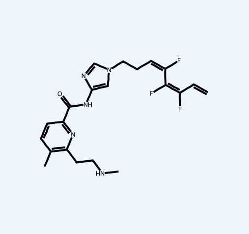 C=C/C(F)=C(F)\C(F)=C/CCn1cnc(NC(=O)c2ccc(C)c(CCNC)n2)c1